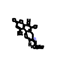 CCc1cc(=O)oc2[nH]c(=O)n(C/C(P)=N/OC)c(=O)c12